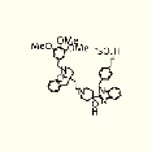 COc1cc(CN2CCC(CCN3CCC(O)(c4nc5ccccc5n4Cc4ccc(F)cc4)CC3)(Cc3ccccc3)C2=O)cc(OC)c1OC.CS(=O)(=O)O